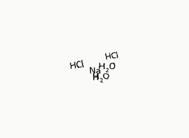 Cl.Cl.O.O.[NaH]